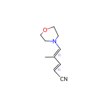 CC(/C=C/C#N)=C\N1CCOCC1